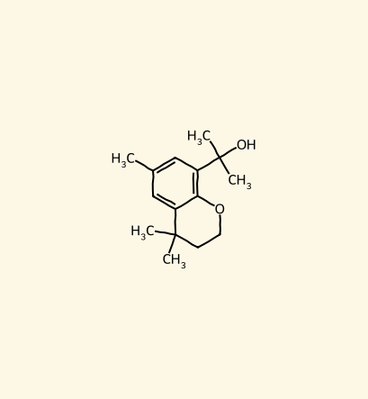 Cc1cc(C(C)(C)O)c2c(c1)C(C)(C)CCO2